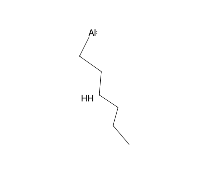 CCCCC[CH2][Al].[HH]